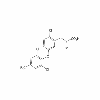 O=C(O)C(Br)Cc1cc(Oc2c(Cl)cc(C(F)(F)F)cc2Cl)ccc1Cl